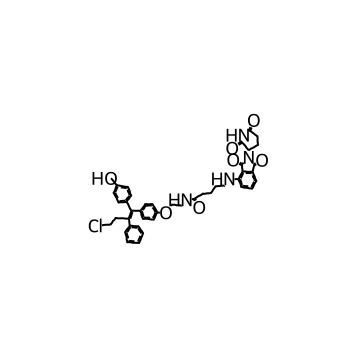 O=C(CCCCNc1cccc2c1C(=O)N(C1CCC(=O)NC1=O)C2=O)NCCOc1ccc(C(=C(CCCl)c2ccccc2)c2ccc(O)cc2)cc1